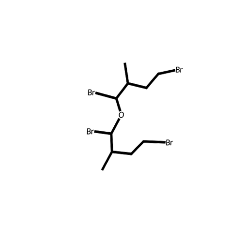 CC(CCBr)C(Br)OC(Br)C(C)CCBr